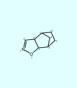 C1=NOC2C3CCC(C3)C12